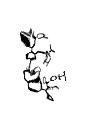 COc1cc(-c2ccc([C@@H]3CCc4ccc(C(C5CC5)[C@H](C)C(=O)O)cc4O3)cc2CNC(C)C)ccn1